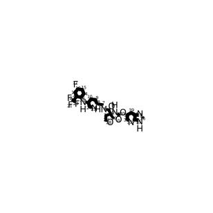 O=C(N[C@@]1(C(=O)NCc2ccc(Nc3ccc(F)cc3C(F)(F)F)cn2)CCOC1)Oc1cnc2[nH]cnc2c1